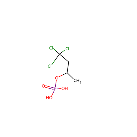 CC(CC(Cl)(Cl)Cl)OP(=O)(O)O